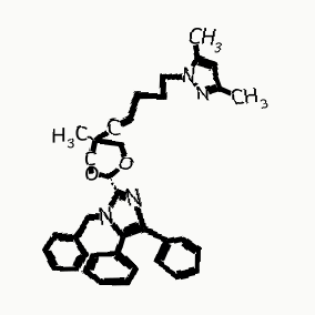 Cc1cc(C)n(CCCCC[C@]2(C)CO[C@@H](c3nc(-c4ccccc4)c(-c4ccccc4)n3Cc3ccccc3)OC2)n1